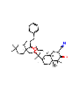 CC(=O)C[C@@H]1[C@@]2(C)C=C(C#N)C(=O)C(C)(C)[C@@H]2CC[C@@]1(C)C(C)(C)CC[C@@]1(C(=O)CCc2ccccc2)CCC(C)(C)CC1C